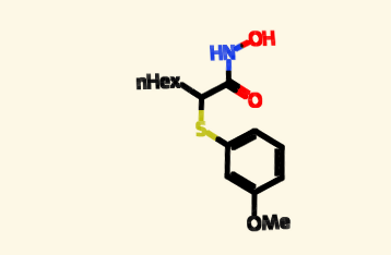 CCCCCCC(Sc1cccc(OC)c1)C(=O)NO